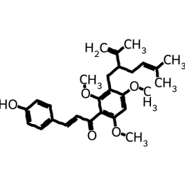 C=C(C)C(CC=C(C)C)Cc1c(OC)cc(OC)c(C(=O)/C=C/c2ccc(O)cc2)c1OC